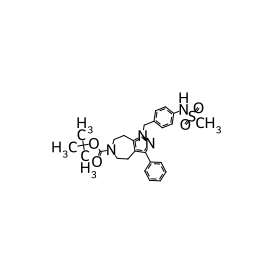 CC(C)(C)OC(=O)N1CCc2c(-c3ccccc3)nn(Cc3ccc(NS(C)(=O)=O)cc3)c2CC1